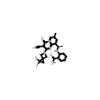 Cc1cc([C@@H](C)Nc2ccccc2C(=O)O)c2nc(N3CC4(C3)CC4(F)F)c(C#N)c(=O)n2c1